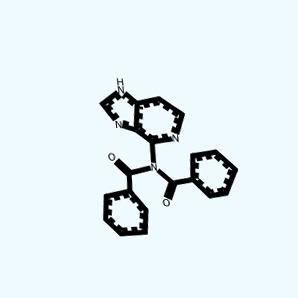 O=C(c1ccccc1)N(C(=O)c1ccccc1)c1nccc2[nH]cnc12